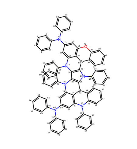 c1ccc(N(c2ccccc2)c2cc3c4c(c2)N(c2ccccc2)c2c5c(n(-c6ccccc6)c2B4c2ccccc2O3)B2c3ccccc3N(c3ccccc3)c3cc(N(c4ccccc4)c4ccccc4)cc(c32)N5c2ccccc2)cc1